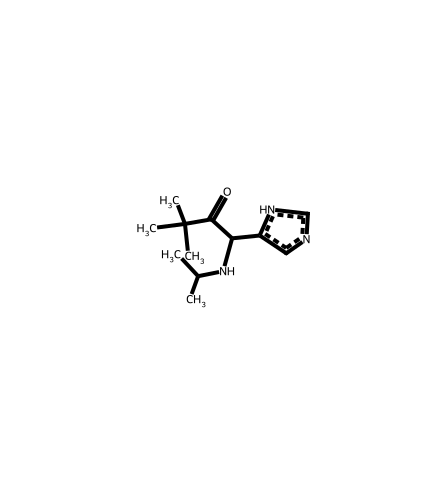 CC(C)NC(C(=O)C(C)(C)C)c1cnc[nH]1